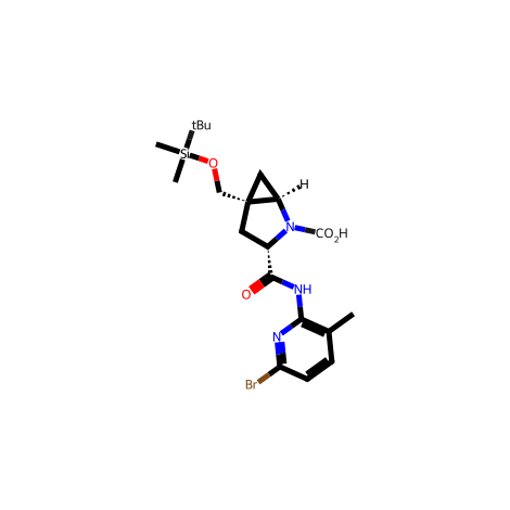 Cc1ccc(Br)nc1NC(=O)[C@@H]1C[C@@]2(CO[Si](C)(C)C(C)(C)C)C[C@H]2N1C(=O)O